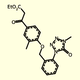 CCOC(=O)CC(=O)c1ccc(OCc2ccccc2-n2nnn(C)c2=O)c(C)c1